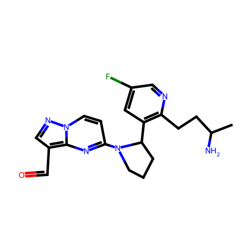 CC(N)CCc1ncc(F)cc1C1CCCN1c1ccn2ncc(C=O)c2n1